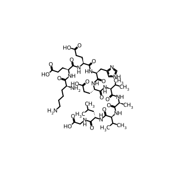 CC(C)C[C@H](NC(=O)[C@@H](NC(=O)[C@H](C)NC(=O)[C@@H](NC(=O)[C@H](CCC(=O)O)NC(=O)[C@H](Cc1c[nH]cn1)NC(=O)[C@H](CCC(=O)O)NC(=O)[C@H](CCC(=O)O)NC(=O)[C@@H](N)CCCCN)C(C)C)C(C)C)C(=O)NCC(=O)O